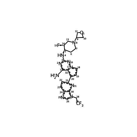 Nc1nc(N[C@@H]2CCN(C3COC3)C[C@@H]2F)nn2ccc(-c3ccc4ncn(CC(F)(F)F)c4n3)c12